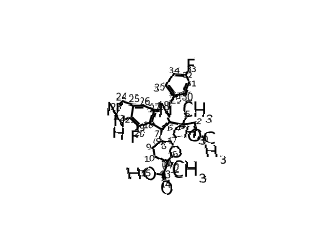 COCC(C)(C)c1c([C@@H]2CC[C@@](C)(C(=O)O)OC2)c2c(F)c3[nH]ncc3cc2n1-c1ccc(F)cc1